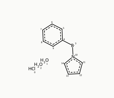 Cl.O.O.[B](c1ccccc1)n1cccc1